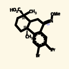 CO/N=C1\CC2[C@](C)(C(=O)O)CCC[C@]2(C)c2cc(Br)c(C(C)C)cc21